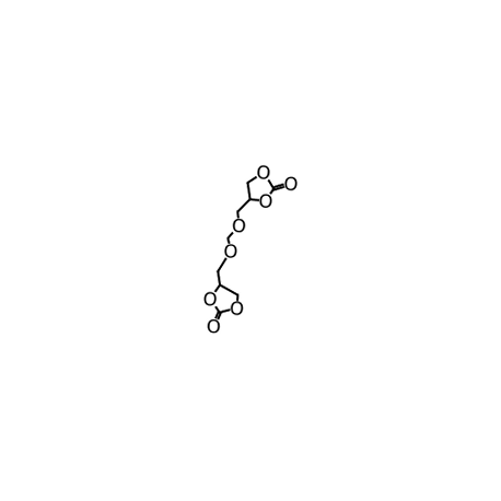 O=C1OCC(COCOCC2COC(=O)O2)O1